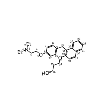 CCN(CC)CCOc1ccc(Cc2c(OCCCO)ccc3ccccc23)cc1